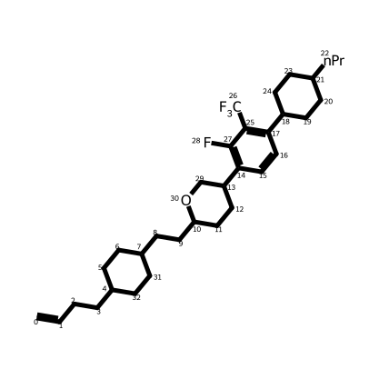 C=CCCC1CCC(CCC2CCC(c3ccc(C4CCC(CCC)CC4)c(C(F)(F)F)c3F)CO2)CC1